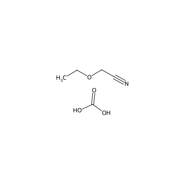 CCOCC#N.O=C(O)O